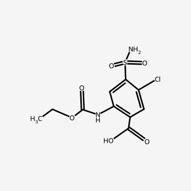 CCOC(=O)Nc1cc(S(N)(=O)=O)c(Cl)cc1C(=O)O